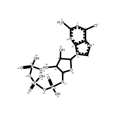 Nc1nc(Cl)c2ncn(C3OC(OP(=O)(O)OP(=O)(O)OP(=O)(O)O)C(O)C3O)c2n1